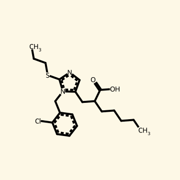 CCCCCC(Cc1cnc(SCCC)n1Cc1ccccc1Cl)C(=O)O